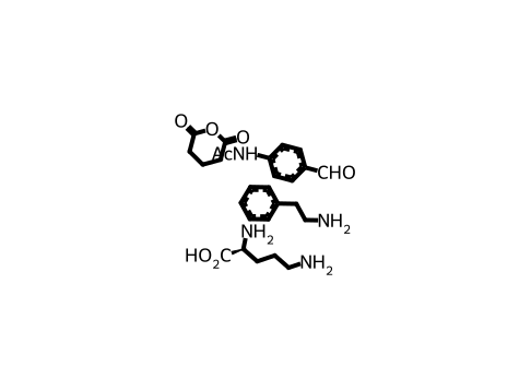 CC(=O)Nc1ccc(C=O)cc1.NCCC[C@H](N)C(=O)O.NCCc1ccccc1.O=C1CCCC(=O)O1